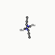 CC(C)(C)c1ccc2c3c4c5ccc(-c6ccc(C(C)(C)c7ccccc7)cc6)cc5n5c6cc(C(C)(C)C)ccc6c(c6c7ccc(-c8ccc(C(C)(C)c9ccccc9)cc8)cc7n(c2c1)c63)c45